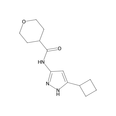 O=C(Nc1cc(C2CCC2)[nH]n1)C1CCOCC1